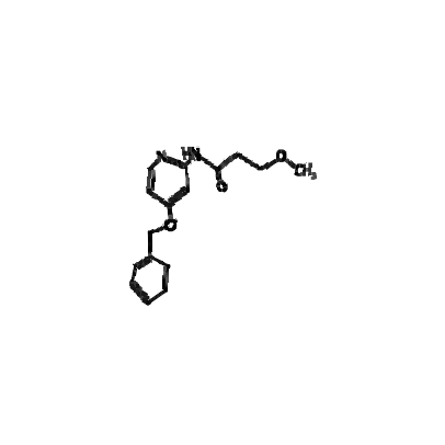 COCCC(=O)Nc1cc(OCc2ccccc2)ccn1